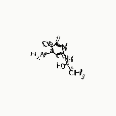 CCC(O)Nc1cc(N)c(Cl)cn1